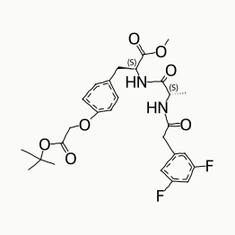 COC(=O)[C@H](Cc1ccc(OCC(=O)OC(C)(C)C)cc1)NC(=O)[C@H](C)NC(=O)Cc1cc(F)cc(F)c1